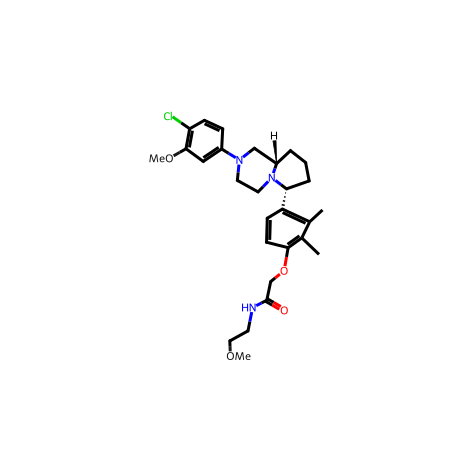 COCCNC(=O)COc1ccc([C@H]2CCC[C@H]3CN(c4ccc(Cl)c(OC)c4)CCN32)c(C)c1C